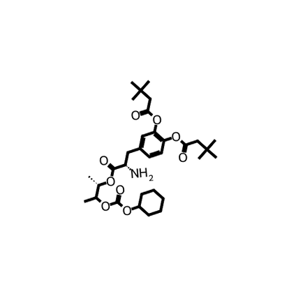 CC(OC(=O)OC1CCCCC1)[C@H](C)OC(=O)[C@@H](N)Cc1ccc(OC(=O)CC(C)(C)C)c(OC(=O)CC(C)(C)C)c1